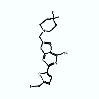 Nc1nc(-c2ccc(CF)o2)nc2sc(CN3CCC(F)(F)CC3)cc12